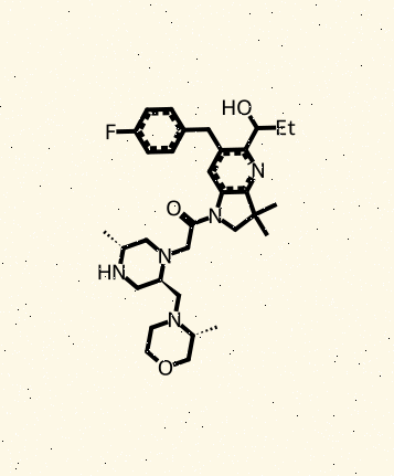 CCC(O)c1nc2c(cc1Cc1ccc(F)cc1)N(C(=O)CN1C[C@@H](C)NC[C@@H]1CN1CCOC[C@H]1C)CC2(C)C